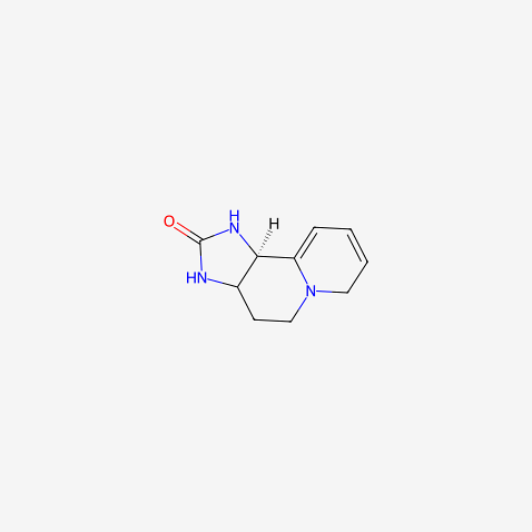 O=C1NC2CCN3CC=CC=C3[C@@H]2N1